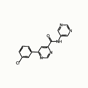 O=C(Nc1cncnc1)c1cc(-c2cccc(Cl)c2)ncn1